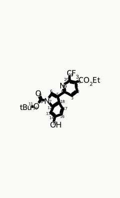 CCOC(=O)c1ccc(-c2cn(C(=O)OC(C)(C)C)c3cc(O)ccc23)nc1C(F)(F)F